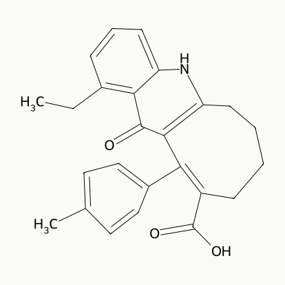 CCc1cccc2[nH]c3c(c(=O)c12)C(c1ccc(C)cc1)=C(C(=O)O)CCCC3